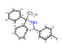 Cc1ccc(CNC(C(=O)O)(c2ccccc2)c2ccccc2)cc1